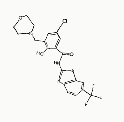 O=C(Nc1nc2ccc(C(F)(F)F)cc2s1)c1cc(Cl)cc(CN2CCOCC2)c1O